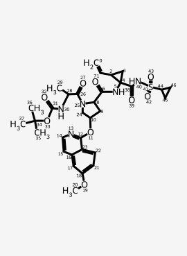 C=CC1CC1(NC(=O)C1CC(Oc2nccc3cc(OC)ccc23)CN1C(=O)C(C)NC(=O)OC(C)(C)C)C(=O)NS(=O)(=O)C1CC1